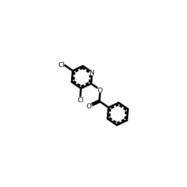 O=C(Oc1ncc(Cl)cc1Cl)c1ccccc1